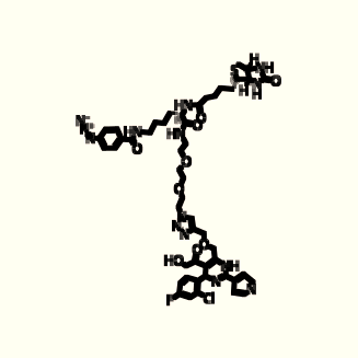 [N-]=[N+]=Nc1ccc(C(=O)NCCCC[C@H](NC(=O)CCCC[C@@H]2SC[C@@H]3NC(=O)N[C@@H]32)C(=O)NCCOCCOCCn2cc(COCC3=C(C(=O)CO)C(c4ccc(F)cc4Cl)N=C(c4ccncc4)N3)nn2)cc1